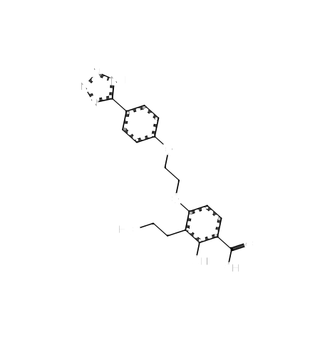 CCCc1c(OCCOc2ccc(-c3nnn[nH]3)cc2)ccc(C(C)=O)c1O